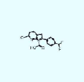 O=C(O)n1c(-c2ccc(C(F)F)cc2)cc2ccc(Cl)nc21